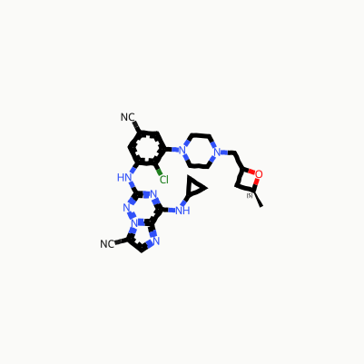 C[C@H]1CC(CN2CCN(c3cc(C#N)cc(Nc4nc(NC5CC5)c5ncc(C#N)n5n4)c3Cl)CC2)O1